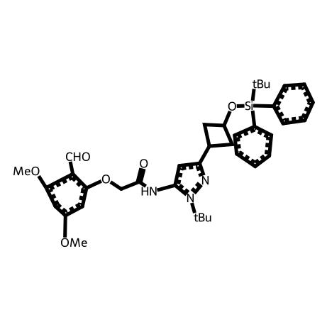 COc1cc(OC)c(C=O)c(OCC(=O)Nc2cc(C3CC(O[Si](c4ccccc4)(c4ccccc4)C(C)(C)C)C3)nn2C(C)(C)C)c1